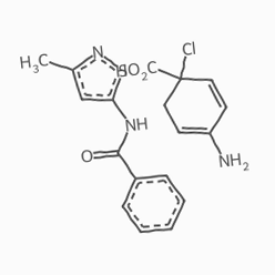 Cc1cc(NC(=O)c2ccccc2)sn1.NC1=CCC(Cl)(C(=O)O)C=C1